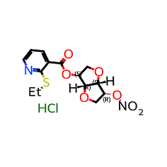 CCSc1ncccc1C(=O)O[C@H]1CO[C@H]2[C@@H]1OC[C@H]2O[N+](=O)[O-].Cl